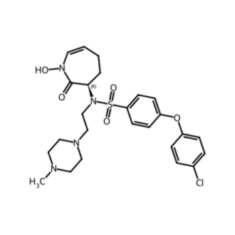 CN1CCN(CCN([C@@H]2CCC=CN(O)C2=O)S(=O)(=O)c2ccc(Oc3ccc(Cl)cc3)cc2)CC1